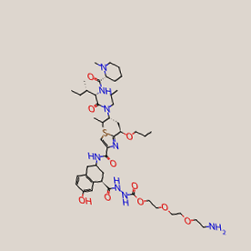 CCCO[C@H](C[C@H](C(C)C)N(CCC)C(=O)[C@@H](NC(=O)[C@H]1CCCCN1C)[C@@H](C)CC)c1nc(C(=O)NC2Cc3ccc(O)cc3[C@H](C(=O)NNC(=O)OCCOCCOCCN)C2)cs1